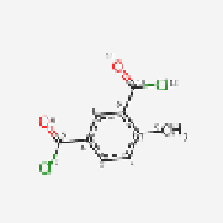 Cc1ccc(C(=O)Cl)cc1C(=O)Cl